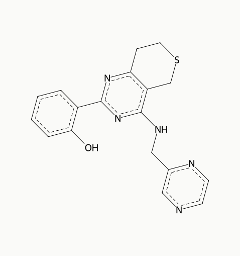 Oc1ccccc1-c1nc2c(c(NCc3cnccn3)n1)CSCC2